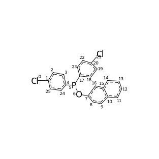 Clc1ccc(P(Oc2ccc3ccccc3c2)c2ccc(Cl)cc2)cc1